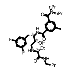 CCCN(CCC)C(=O)c1cc(C)cc(C(=O)N[C@@H](Cc2cc(F)cc(F)c2)[C@H](O)CN[C@@H](CC)C(=O)NCC(C)C)c1